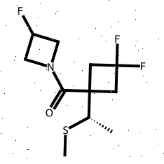 CS[C@@H](C)C1(C(=O)N2CC(F)C2)CC(F)(F)C1